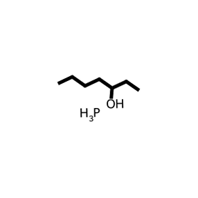 CCCCC(O)CC.P